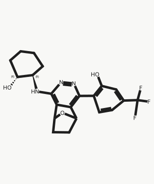 Oc1cc(C(F)(F)F)ccc1-c1nnc(N[C@@H]2CCCC[C@H]2O)c2c1C1CCC2O1